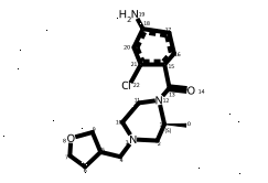 C[C@H]1CN(CC2CCOC2)CCN1C(=O)c1ccc(N)cc1Cl